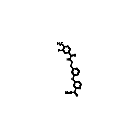 CNC(=O)c1cc(Oc2cccc(CCNC(=O)c3ccc(C)c(F)c3)c2)ccn1